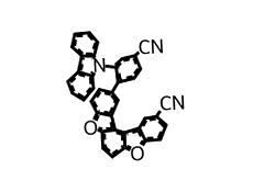 N#Cc1ccc(-c2ccc3oc4ccc5oc6ccc(C#N)cc6c5c4c3c2)c(-n2c3ccccc3c3ccccc32)c1